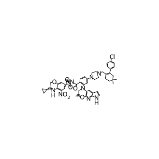 C[C@@H]1CN(c2cc(N3CCN(CC4=C(c5ccc(Cl)cc5)CC(C)(C)CC4)CC3)ccc2C(=O)NS(=O)(=O)c2cc3c(c([N+](=O)[O-])c2)N[C@@H](C2CC2)CO3)c2cc3cc[nH]c3nc2O1